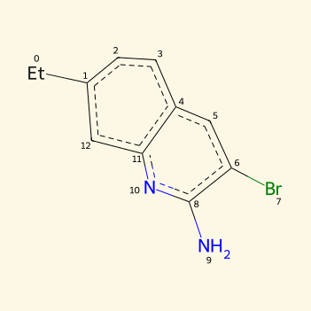 [CH2]Cc1ccc2cc(Br)c(N)nc2c1